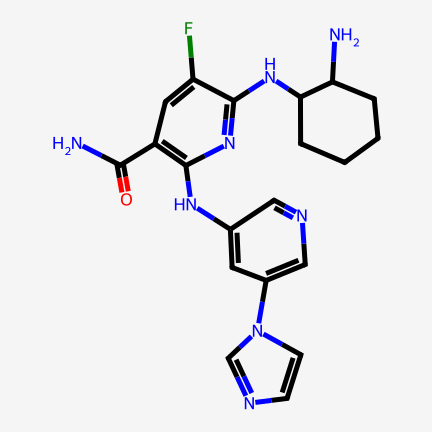 NC(=O)c1cc(F)c(NC2CCCCC2N)nc1Nc1cncc(-n2ccnc2)c1